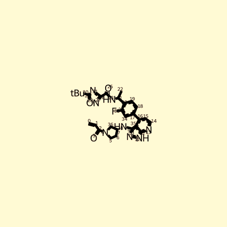 C=CC(=O)N1CC[C@@H](Nc2n[nH]c3nccc(-c4ccc(C(C)NC(=O)c5noc(C(C)(C)C)n5)c(F)c4)c23)C1